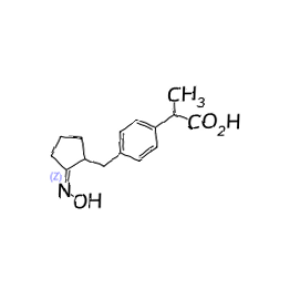 CC(C(=O)O)c1ccc(CC2CCC/C2=N/O)cc1